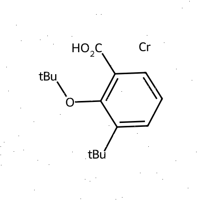 CC(C)(C)Oc1c(C(=O)O)cccc1C(C)(C)C.[Cr]